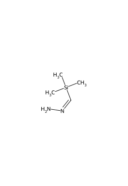 C[Si](C)(C)/C=N\N